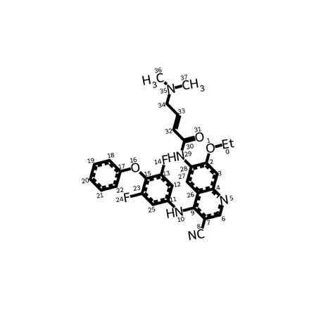 CCOc1cc2ncc(C#N)c(Nc3cc(F)c(Oc4ccccc4)c(F)c3)c2cc1NC(=O)/C=C/CN(C)C